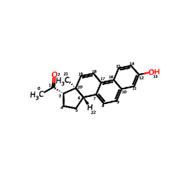 CC(=O)[C@H]1CC[C@H]2c3ccc4cc(O)ccc4c3C=C[C@]12C